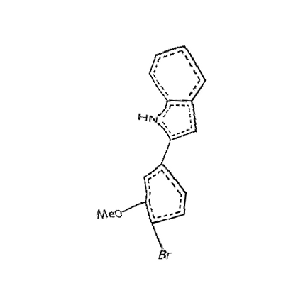 COc1cc(-c2cc3ccccc3[nH]2)ccc1Br